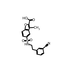 Cc1c(C(=O)O)oc2ccc(S(=O)(=O)NCCc3cccc(C#N)c3)cc12